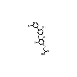 O=C(O)COc1cc(Cl)c(Cc2ccc(O)c(-c3ccnc(Cl)c3)c2)c(Cl)c1